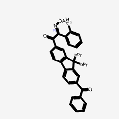 CCCC1(CCC)c2cc(C(=O)/C(=N/OC(C)=O)c3ccccc3C)ccc2-c2ccc(C(=O)c3ccccc3)cc21